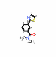 CN(C)C(=O)c1cccc(-c2nccs2)c1